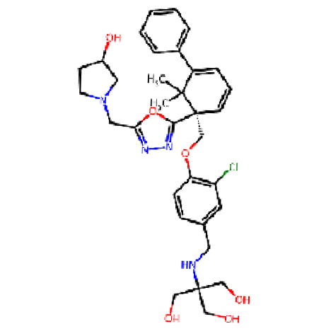 CC1(C)C(c2ccccc2)=CC=C[C@@]1(COc1ccc(CNC(CO)(CO)CO)cc1Cl)c1nnc(CN2CCC(O)C2)o1